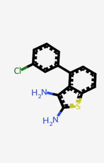 Nc1sc2cccc(-c3cccc(Cl)c3)c2c1N